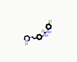 O=C(Nc1ccc(Cl)cc1)Nc1ccc(CC[C@@H]2CCCNC2)cc1